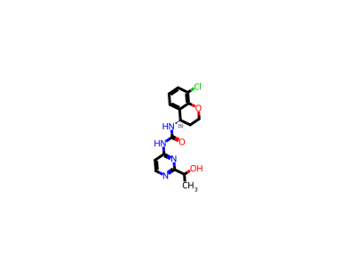 CC(O)c1nccc(NC(=O)N[C@H]2CCOc3c(Cl)cccc32)n1